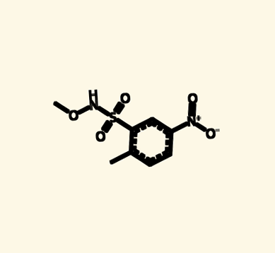 CONS(=O)(=O)c1cc([N+](=O)[O-])ccc1C